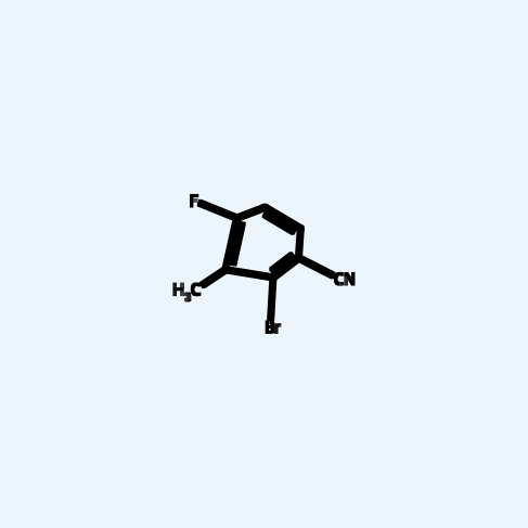 Cc1c(F)ccc(C#N)c1Br